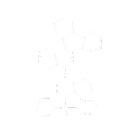 O=P(c1ccccc1)(c1ccccc1)c1ccc(-c2cc3c4ccccc4c4ccccc4c3c3ccccc23)c2ccccc12